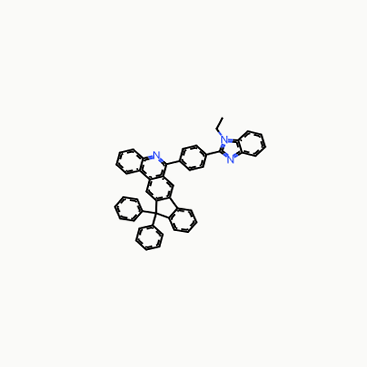 CCn1c(-c2ccc(-c3nc4ccccc4c4cc5c(cc34)-c3ccccc3C5(c3ccccc3)c3ccccc3)cc2)nc2ccccc21